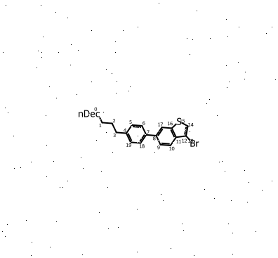 CCCCCCCCCCCCCc1ccc(-c2ccc3c(Br)csc3c2)cc1